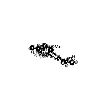 COc1cc(N2CCN(CC3CCN(c4ccc5c(c4)C(=O)N(C4CCC(=O)NC4=O)C5=O)C3)CC2)c(-c2cnn(C)c2)cc1Nc1ncc(Br)c(Nc2ccc(-c3ccccc3)cc2P(C)(C)=O)n1